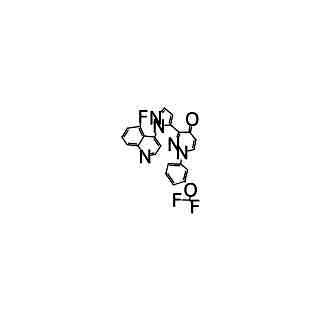 O=c1ccn(-c2cccc(OC(F)F)c2)nc1-c1ccnn1-c1ccnc2cccc(F)c12